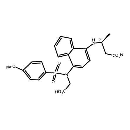 COc1ccc(S(=O)(=O)N(CC(=O)O)c2ccc(N[C@@H](C)CC(=O)O)c3ccccc23)cc1